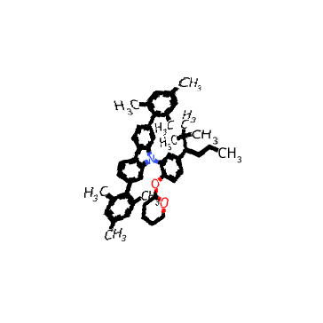 CCCC(c1ccc(OC2CCCCO2)c(-n2c3cc(-c4c(C)cc(C)cc4C)ccc3c3ccc(-c4c(C)cc(C)cc4C)cc32)c1)C(C)(C)C